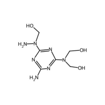 Nc1nc(N(N)CO)nc(N(CO)CO)n1